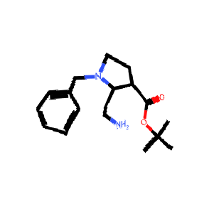 CC(C)(C)OC(=O)C1CCN(Cc2ccccc2)C1CN